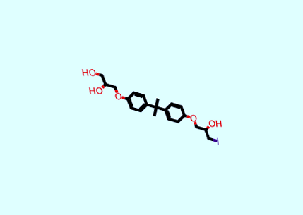 CC(C)(C1=CCC(OCC(O)CI)C=C1)c1ccc(OCC(O)CO)cc1